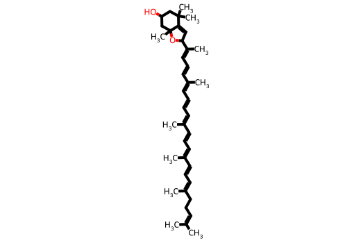 CC(C)=CCC/C(C)=C/C=C/C(C)=C/C=C/C(C)=C/C=C/C=C(C)/C=C/C=C(\C)C1C=C2C(C)(C)CC(O)CC2(C)O1